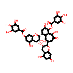 O=C(Oc1cc(O)c2c(c1)O[C@H](c1cc(O)c(OC(=O)c3cc(O)c(O)c(O)c3)c3c(O)c(=O)cc(C4Oc5cc(O)cc(O)c5C[C@H]4O)cc13)[C@H](O)C2)c1cc(O)c(O)c(O)c1